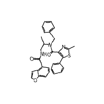 Cc1nc(C(=O)N(Cc2ccccc2)C(C)CNC(=O)c2cccc3occc23)c(-c2ccccc2)s1